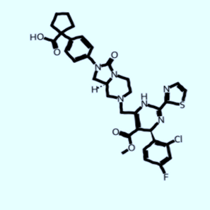 COC(=O)C1=C(CN2CCN3C(=O)N(c4ccc(C5(C(=O)O)CCCC5)cc4)C[C@@H]3C2)NC(c2nccs2)=N[C@H]1c1ccc(F)cc1Cl